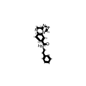 O=C(NCCc1ccccc1)c1ccc2ncc3nncn3c2c1